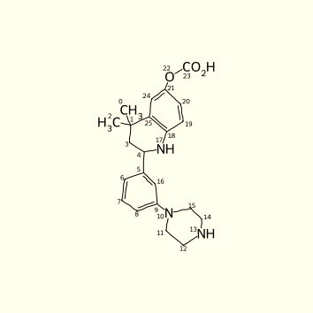 CC1(C)CC(c2cccc(N3CCNCC3)c2)Nc2ccc(OC(=O)O)cc21